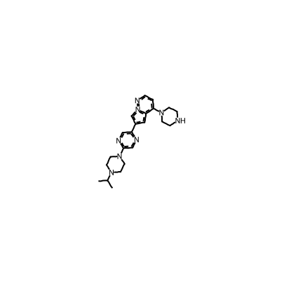 CC(C)N1CCN(c2cnc(-c3cc4c(N5CCNCC5)ccnn4c3)cn2)CC1